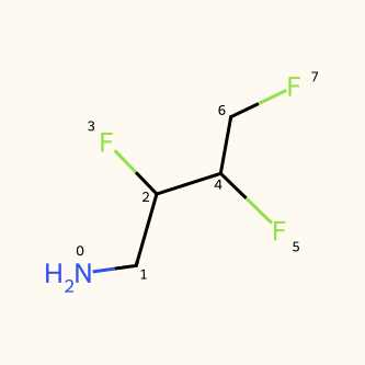 NCC(F)C(F)CF